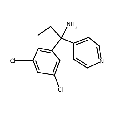 CCC(N)(c1ccncc1)c1cc(Cl)cc(Cl)c1